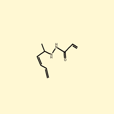 C=C/C=C\C(C)NNC(=O)C=C